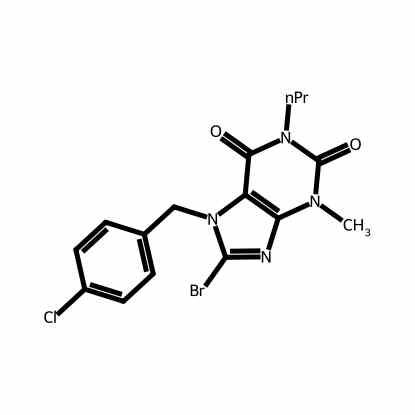 CCCn1c(=O)c2c(nc(Br)n2Cc2ccc(Cl)cc2)n(C)c1=O